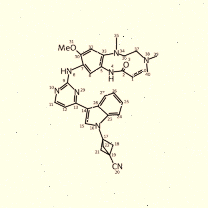 C=CC(=O)Nc1cc(Nc2nccc(-c3cn(C45CC(C#N)(C4)C5)c4ccccc34)n2)c(OC)cc1N(C)CCN(C)C